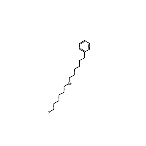 [O]CCCCCCNCCCCCCc1ccccc1